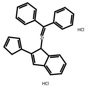 C1=CCC(C2=Cc3ccccc3[CH]2[Zr]=[C](c2ccccc2)c2ccccc2)=C1.Cl.Cl